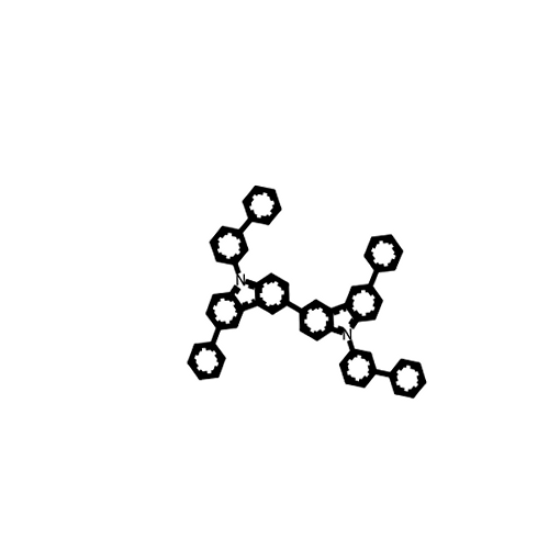 c1ccc(-c2cccc(-n3c4ccc(-c5ccccc5)cc4c4cc(-c5ccc6c(c5)c5cc(-c7ccccc7)ccc5n6-c5cccc(-c6ccccc6)c5)ccc43)c2)cc1